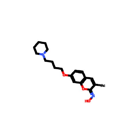 CC(=O)c1cc2ccc(OCCCCN3CCCCC3)cc2oc1=NO